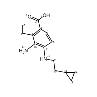 CCc1c(C(=O)O)ccc(NCCC2CC2)c1N